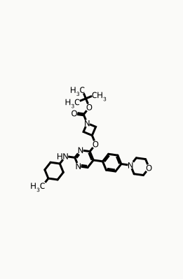 CC1CCC(Nc2ncc(-c3ccc(N4CCOCC4)cc3)c(OC3CN(C(=O)OC(C)(C)C)C3)n2)CC1